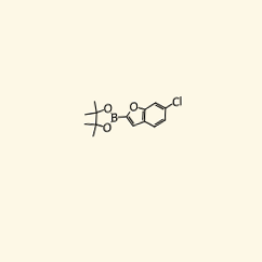 CC1(C)OB(c2cc3ccc(Cl)cc3o2)OC1(C)C